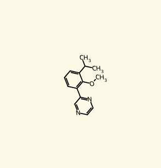 COc1c(-c2cnccn2)cccc1C(C)C